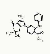 Cc1cn(-c2ccc(C(N)=O)c(Nc3ccncc3)c2)c2c1C(=O)CC(C)(C)C2